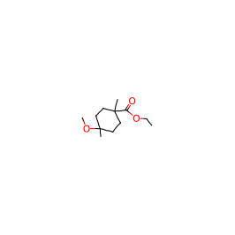 CCOC(=O)C1(C)CCC(C)(OC)CC1